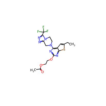 CCc1cc2c(N3CCn4c(nnc4C(F)(F)F)C3)nc(OCCOC(C)=O)nc2s1